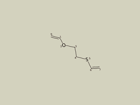 C=COCCSC=C